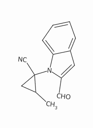 CC1CC1(C#N)n1c(C=O)cc2ccccc21